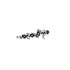 COc1ccc(C(=O)Nc2ccc(Oc3ccnc4cc(OCCC(N)C(=O)OC5CCCC5)c(OC)cc34)cc2)cc1